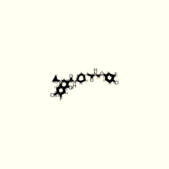 O=C(C[C@H]1CC[C@H](NC(=O)c2cn(C3CC3)c3cc(Cl)c(F)cc3c2=O)CC1)NCOc1ccc(Cl)c(F)c1